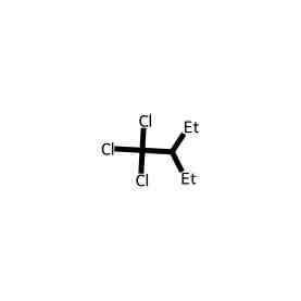 CCC(CC)C(Cl)(Cl)Cl